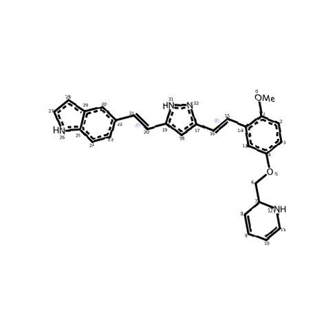 COc1ccc(OCC2C=CC=CN2)cc1/C=C/c1cc(/C=C/c2ccc3[nH]ccc3c2)[nH]n1